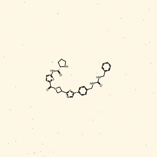 O=C(NCc1ccccc1)NCc1ccc(-c2cnc(C3CN(C(=O)c4ccc(NC(=O)[C@@H]5CCCN5)s4)C3)s2)cc1